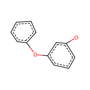 [O]c1cccc(Oc2ccccc2)c1